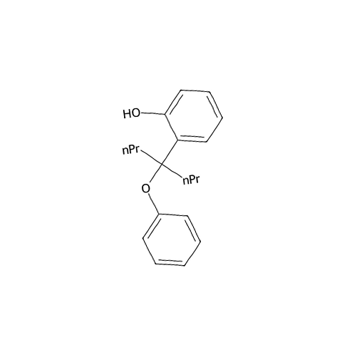 CCCC(CCC)(Oc1ccccc1)c1ccccc1O